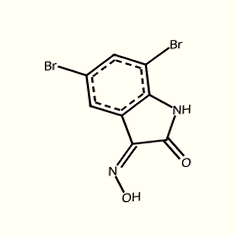 O=C1Nc2c(Br)cc(Br)cc2/C1=N/O